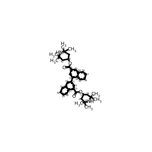 CC1(C)CC(OC(=O)c2cc(-c3cc(C(=O)OC4CC(C)(C)NC(C)(C)C4)c4ccccc4c3)c3ccccc3c2)CC(C)(C)N1